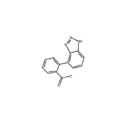 O=C(Cl)c1ccccc1-c1cccc2[nH]nnc12